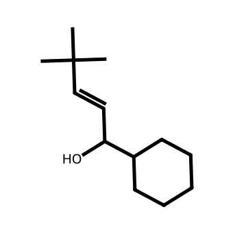 CC(C)(C)/C=C/C(O)C1CCCCC1